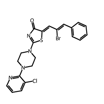 O=C1N=C(N2CCN(c3ncccc3Cl)CC2)SC1=CC(Br)=Cc1ccccc1